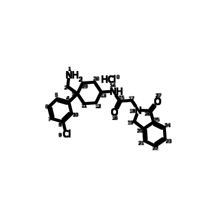 Cl.NCC1(c2cccc(Cl)c2)CCC(NC(=O)CN2Cc3ccccc3C2=O)CC1